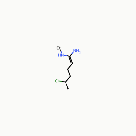 CCN/C(N)=C\CC[C@@H](C)Cl